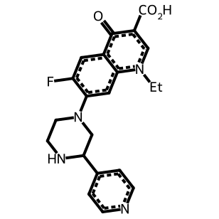 CCn1cc(C(=O)O)c(=O)c2cc(F)c(N3CCNC(c4ccncc4)C3)cc21